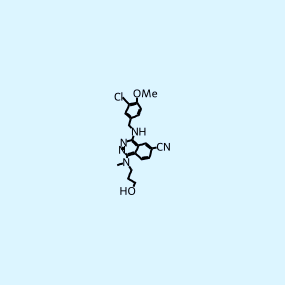 COc1ccc(CNc2nnc(N(C)CCCO)c3ccc(C#N)cc23)cc1Cl